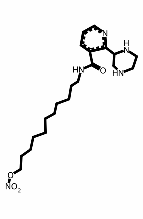 O=C(NCCCCCCCCCCCO[N+](=O)[O-])c1cccnc1C1CNCCN1